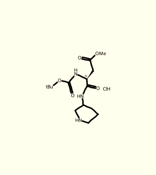 COC(=O)C[C@H](NC(=O)OC(C)(C)C)C(=O)NC1CCCNC1.Cl